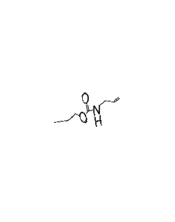 C=CCNC(=O)OCCC